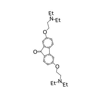 CCN(CC)CCOc1ccc2c(c1)C(=O)c1ccc(OCCN(CC)CC)cc1-2